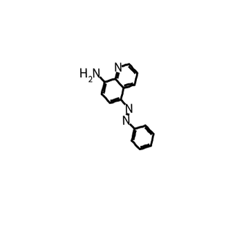 Nc1ccc(N=Nc2ccccc2)c2cccnc12